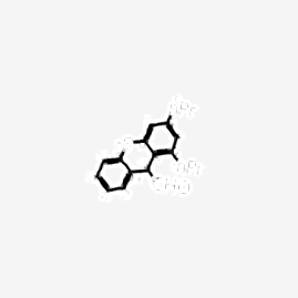 CCCc1cc(CCC)c2c(c1)Sc1ccccc1C2C=O